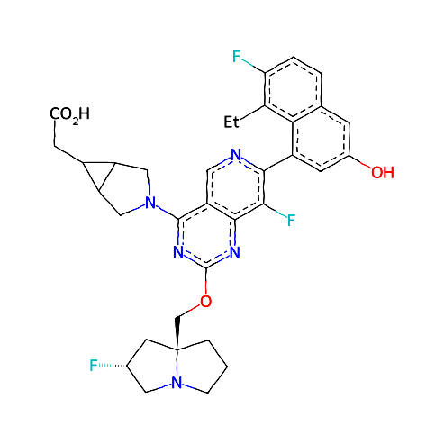 CCc1c(F)ccc2cc(O)cc(-c3ncc4c(N5CC6C(CC(=O)O)C6C5)nc(OC[C@@]56CCCN5C[C@H](F)C6)nc4c3F)c12